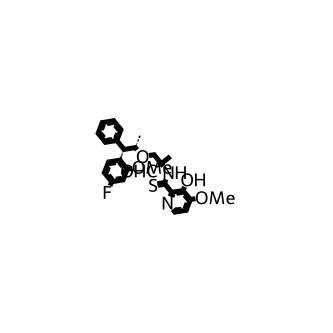 COc1cc(F)ccc1[C@H](c1ccccc1)[C@H](C)OC[C@](C)(C=O)NC(=S)c1nccc(OC)c1O